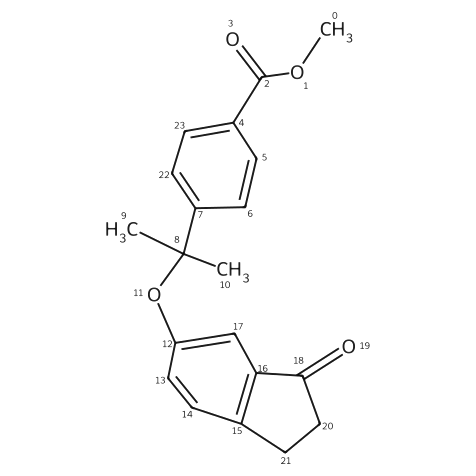 COC(=O)c1ccc(C(C)(C)Oc2ccc3c(c2)C(=O)CC3)cc1